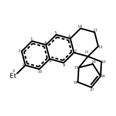 CCc1ccc2cc3c(cc2c1)C1(CCC3)CC2=CCC1C2